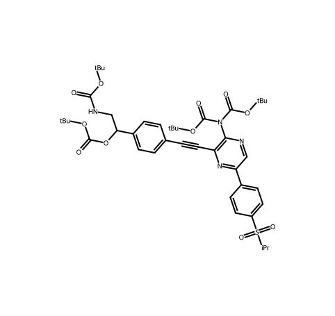 CC(C)S(=O)(=O)c1ccc(-c2cnc(N(C(=O)OC(C)(C)C)C(=O)OC(C)(C)C)c(C#Cc3ccc(C(CNC(=O)OC(C)(C)C)OC(=O)OC(C)(C)C)cc3)n2)cc1